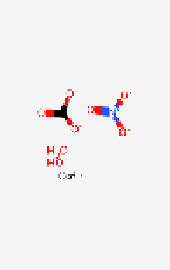 O.O=C([O-])[O-].O=[N+]([O-])[O-].[Co+4].[OH-]